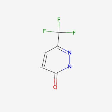 O=C1[C]=CC(C(F)(F)F)=N[N]1